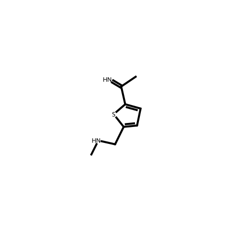 CNCc1ccc(C(C)=N)s1